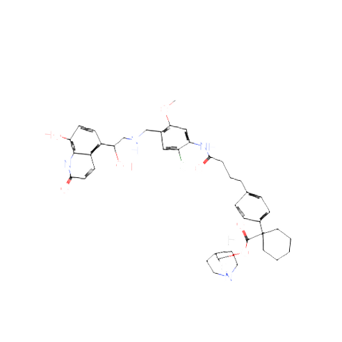 COc1cc(NC(=O)CCCc2ccc(C3(C(=O)O[C@H]4CN5CCC4CC5)CCCCC3)cc2)c(Cl)cc1CNCC(O)c1ccc(O)c2[nH]c(=O)ccc12